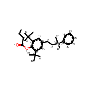 CCCC(=O)Oc1c(C(C)(C)C)cc(CC[Si](C)(C)c2ccccc2)cc1C(C)(C)C